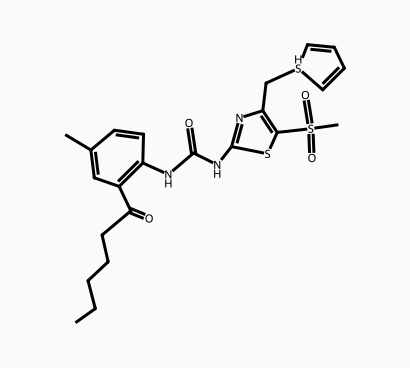 CCCCCC(=O)c1cc(C)ccc1NC(=O)Nc1nc(C[SH]2C=CC=C2)c(S(C)(=O)=O)s1